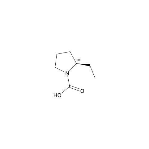 CC[C@@H]1CCCN1C(=O)O